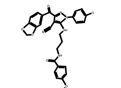 COc1ccc(C(=O)NCCCNc2c(C#N)c(C(=O)c3ccc4c(c3)OCO4)nn2-c2ccc(Cl)cc2)cc1